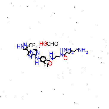 CCc1cc(Nc2nccn3c(-c4c[nH]nc4C(F)(F)F)cnc23)ccc1C(=O)NCCCNC(=O)[C@@H](N)CCCCN.O=CO